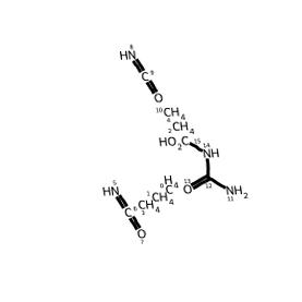 C.C.C.C.C.N=C=O.N=C=O.NC(=O)NC(=O)O